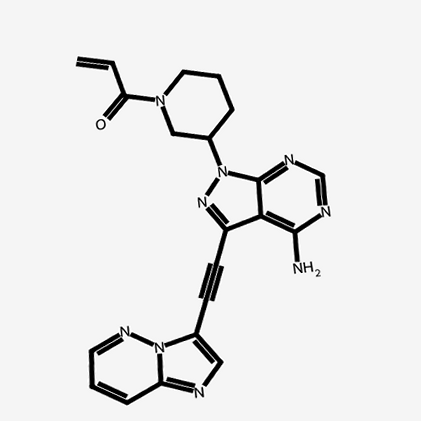 C=CC(=O)N1CCCC(n2nc(C#Cc3cnc4cccnn34)c3c(N)ncnc32)C1